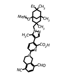 CCC1(C)CC2(C)CC(C)(Cn3ncc(-c4ccc(N5CCc6c(C#N)ccc(C=O)c6C5)nc4C(=O)O)c3C)CC(ONC)(C1)C2